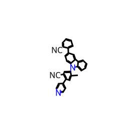 Cc1cc(-c2ccncc2)c(C#N)cc1-n1c2ccccc2c2cc(-c3ccccc3C#N)ccc21